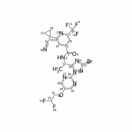 CC(NC(=O)c1cc(C(F)(F)F)nc(C2(C#N)CC2)c1)c1nc(Br)nn1-c1ncc(OCC(F)F)cn1